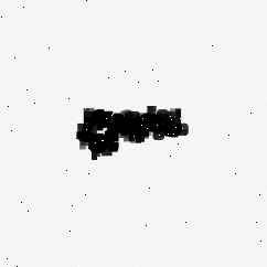 [2H]C1([2H])N(CC2CCN(Cc3ccc(Nc4ncc(F)c(-c5cc(F)c6nc(C)n(C(C)C)c6c5)n4)nc3)CC2)C([2H])([2H])C([2H])([2H])N(c2cc(F)c3c(c2F)C(=O)N(C2CCC(=O)NC2=O)C3=O)C1([2H])[2H]